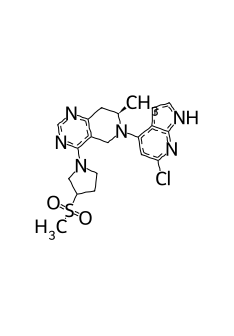 C[C@@H]1Cc2ncnc(N3CCC(S(C)(=O)=O)C3)c2CN1c1cc(Cl)nc2[nH]ccc12